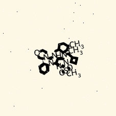 CC1CCC(Cn2c(N3CCOC[C@H]3c3ccccc3)nc3nc(S(C)(=O)=O)nc(N[C@H](C)C4CCC4)c32)CC1